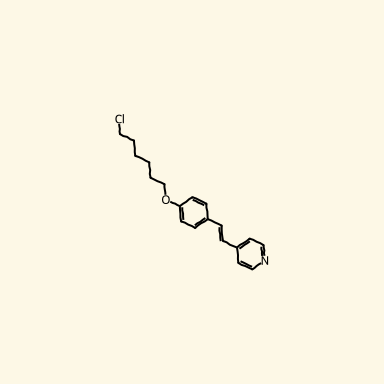 ClCCCCCCOc1ccc(/C=C/c2ccncc2)cc1